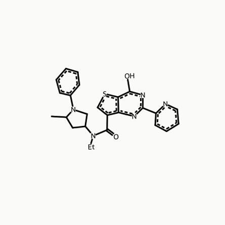 CCN(C(=O)c1csc2c(O)nc(-c3ccccn3)nc12)C1CC(C)N(c2ccccc2)C1